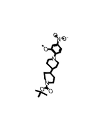 COc1cc([N+](=O)[O-])ccc1N1CCC(C2CCN(C(=O)OC(C)(C)C)CC2)CC1